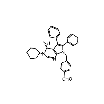 N=c1c2c(-c3ccccc3)c(-c3ccccc3)n(Cc3ccc(C=O)cc3)c2ncn1C1CCCCC1